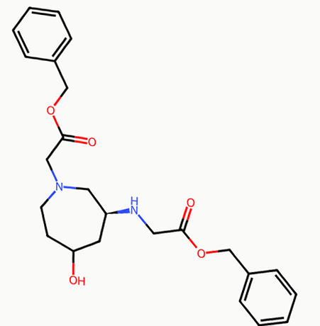 O=C(CN[C@H]1CC(O)CCN(CC(=O)OCc2ccccc2)C1)OCc1ccccc1